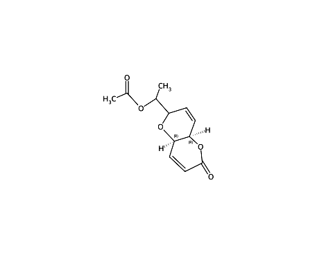 CC(=O)OC(C)C1C=C[C@H]2OC(=O)C=C[C@H]2O1